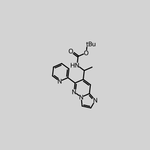 CC(NC(=O)OC(C)(C)C)c1cc2nccn2nc1-c1ccccn1